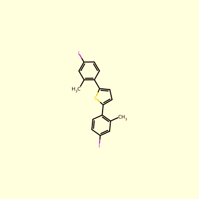 Cc1cc(I)ccc1-c1ccc(-c2ccc(I)cc2C)s1